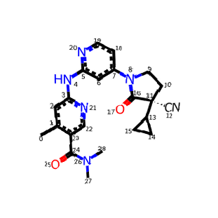 Cc1cc(Nc2cc(N3CC[C@@](C#N)(C4CC4)C3=O)ccn2)ncc1C(=O)N(C)C